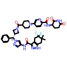 CC1(C)Cc2[nH]nc(C(=O)Nc3cnn([C@H](c4ccccc4)C4CN(C(=O)C5CCN(c6ccc(C(=O)NC7CCC(=O)NC7=O)nc6)CC5)C4)c3)c2CC1(F)F